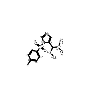 CCSC(c1cncn1S(=O)(=O)c1ccc(C)cc1)[S+]([O-])CC